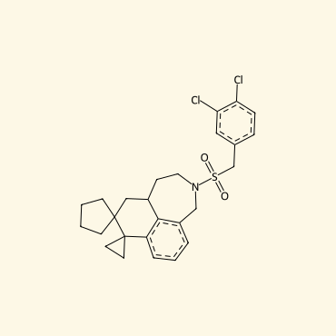 O=S(=O)(Cc1ccc(Cl)c(Cl)c1)N1CCC2CC3(CCCC3)C3(CC3)c3cccc(c32)C1